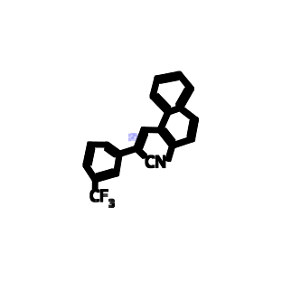 Cc1ccc2ccccc2c1/C=C(\C#N)c1cccc(C(F)(F)F)c1